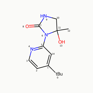 CC(C)(C)c1ccnc(N2C(=O)NCC2(C)O)c1